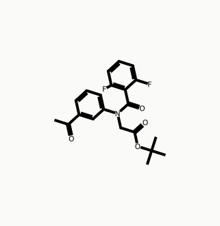 CC(=O)c1cccc(N(CC(=O)OC(C)(C)C)C(=O)c2c(F)cccc2F)c1